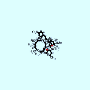 CC[C@H]1OC(=O)[C@H](C)[C@@H](O[C@H]2C[C@@](C)(OC)[C@@H](O)[C@H](C)O2)[C@H](C)[C@@H](O[C@@H]2O[C@H](C)C[C@H](N(C)CCc3cn([C@H](CF)Cc4ccc([N+](=O)[O-])cc4)nn3)[C@H]2O)[C@](C)(OC)C[C@@H](C)C(=O)[C@H](C)[C@@H](O)[C@]1(C)O